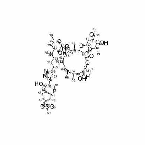 CC[C@H]1OC(=O)[C@H](C)[C@@H](O[C@H]2C[C@@](C)(OC)[C@@H](O)[C@H](C)O2)[C@H](C)[C@@H](O[C@@H]2O[C@H](C)C[C@H](N(C)CCCc3cn([C@H](CF)[C@H](O)c4ccc(S(C)(=O)=O)cc4)nn3)[C@H]2O)[C@](C)(O)C[C@@H](C)CN(C)[C@H](C)[C@@H](O)[C@]1(C)O